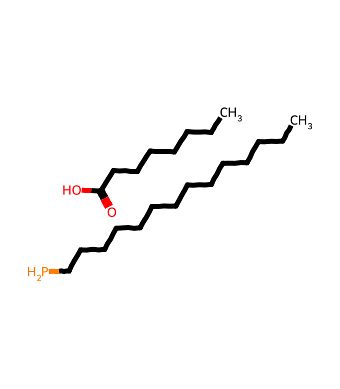 CCCCCCCC(=O)O.CCCCCCCCCCCCCCP